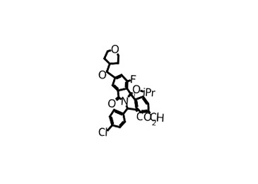 CC(C)O[C@]1(c2ccc(Cl)cc2)c2c(F)cc(C(=O)C3CCOCC3)cc2C(=O)N1C(CC(=O)O)c1ccc(Cl)cc1